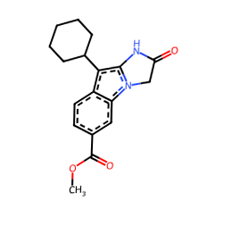 COC(=O)c1ccc2c(C3CCCCC3)c3n(c2c1)CC(=O)N3